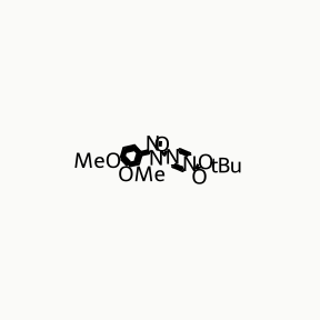 COc1ccc(-c2noc(N3CCN(C(=O)OC(C)(C)C)CC3)n2)cc1OC